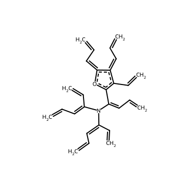 C=C/C=c1/c(C=C)c(/C(=C\C=C)N(/C(C=C)=C/C=C)/C(C=C)=C/C=C)o/c1=C/C=C